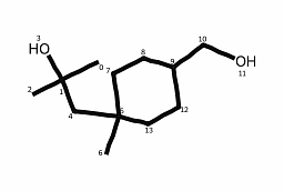 CC(C)(O)CC1(C)CCC(CO)CC1